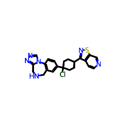 ClC1(c2ccc3c(c2)CNCc2nncn2-3)CCC(c2nsc3cnccc23)CC1